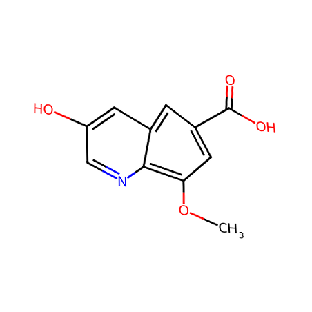 COc1cc(C(=O)O)cc2cc(O)cnc12